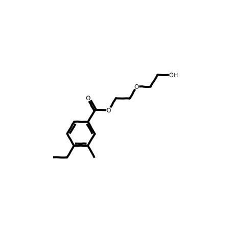 CCc1ccc(C(=O)OCCOCCO)cc1C